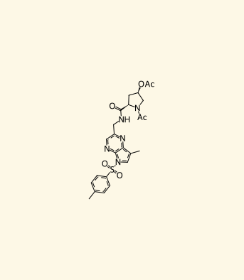 CC(=O)O[C@@H]1C[C@H](C(=O)NCc2cnc3c(n2)c(C)cn3S(=O)(=O)c2ccc(C)cc2)N(C(C)=O)C1